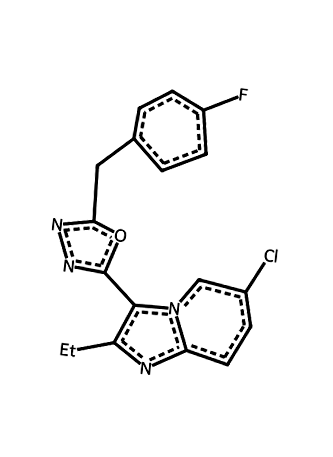 CCc1nc2ccc(Cl)cn2c1-c1nnc(Cc2ccc(F)cc2)o1